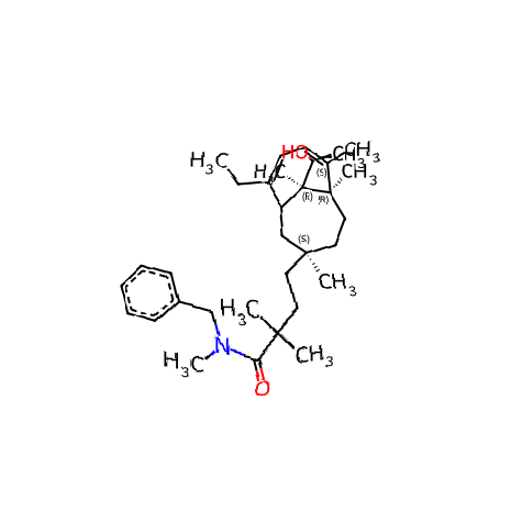 CCC1=CC=C(C)[C@@]2(C)CC[C@@](C)(CCC(C)(C)C(=O)N(C)Cc3ccccc3)CC1[C@@]2(C)[C@H](C)O